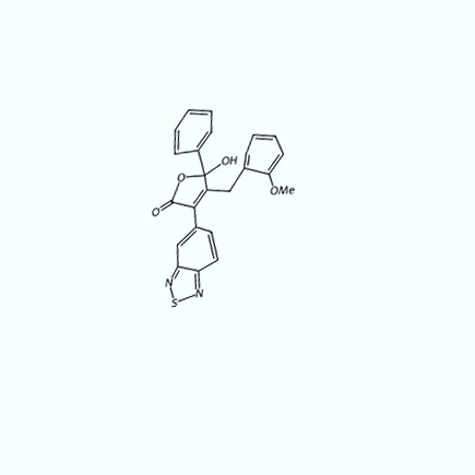 COc1ccccc1CC1=C(c2ccc3nsnc3c2)C(=O)OC1(O)c1ccccc1